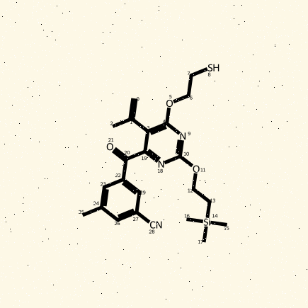 C=C(C)c1c(OCCS)nc(OCC[Si](C)(C)C)nc1C(=O)c1cc(C)cc(C#N)c1